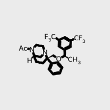 CC(=O)N1CCN2C[C@@H]1CC[C@@]2(CO[C@H](C)c1cc(C(F)(F)F)cc(C(F)(F)F)c1)c1ccccc1